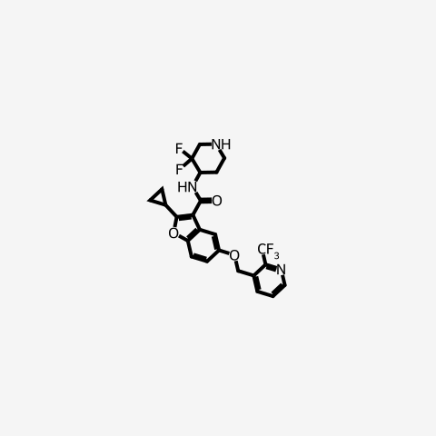 O=C(NC1CCNCC1(F)F)c1c(C2CC2)oc2ccc(OCc3cccnc3C(F)(F)F)cc12